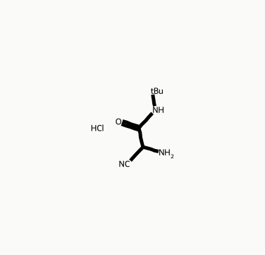 CC(C)(C)NC(=O)C(N)C#N.Cl